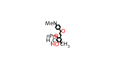 CCCOc1c(/C=C/C(=O)c2ccc(NC)cc2)cc(C)c(O)c1C